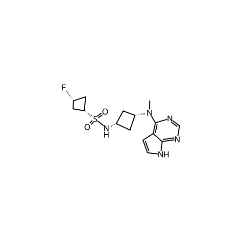 CN(c1ncnc2[nH]ccc12)[C@H]1C[C@@H](NS(=O)(=O)[C@H]2C[C@@H](F)C2)C1